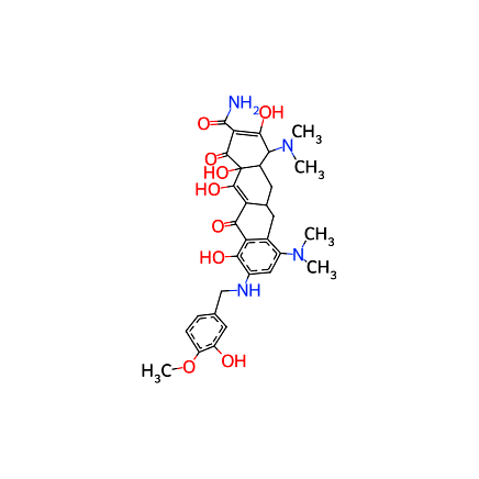 COc1ccc(CNc2cc(N(C)C)c3c(c2O)C(=O)C2=C(O)C4(O)C(=O)C(C(N)=O)=C(O)C(N(C)C)C4CC2C3)cc1O